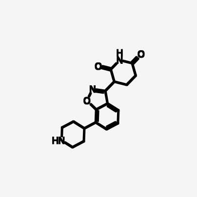 O=C1CCC(c2noc3c(C4CCNCC4)cccc23)C(=O)N1